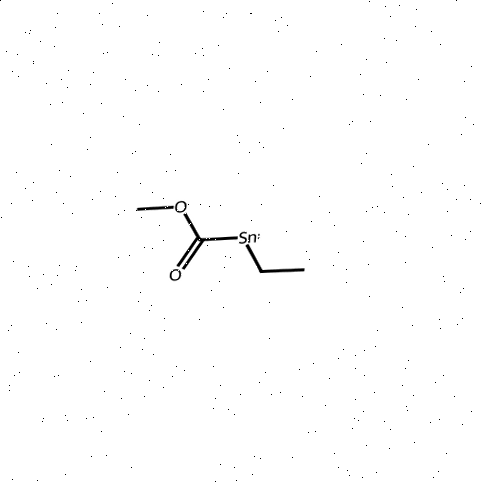 C[CH2][Sn][C](=O)OC